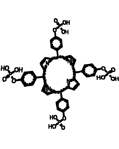 O=P(O)(O)Oc1ccc(-c2c3nc(c(-c4ccc(OP(=O)(O)O)cc4)c4ccc([nH]4)c(-c4ccc(OP(=O)(O)O)cc4)c4nc(c(-c5ccc(OP(=O)(O)O)cc5)c5ccc2[nH]5)C=C4)C=C3)cc1